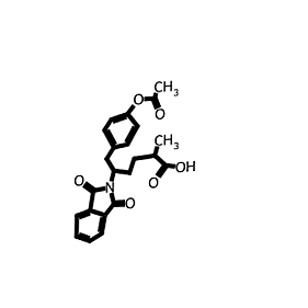 CC(=O)Oc1ccc(CC(CCC(C)C(=O)O)N2C(=O)c3ccccc3C2=O)cc1